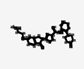 O=C(Nc1cnccc1N1CCNCC1)c1csc(N2Cc3cc(OCCNI)ccc3C2=O)n1